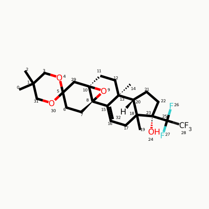 CC1(C)COC2(CC[C@]34O[C@]3(CC[C@]3(C)C4=CCC4(C)[C@H]3CC[C@@]4(O)C(F)(F)C(F)(F)F)C2)OC1